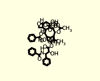 CC(=O)O[C@H]1C(=O)[C@@]2(C)[C@@H](O)C[C@H]3OC[C@@]3(OC(C)=O)[C@@H]2[C@H](OC(=O)c2ccccc2)[C@@]2(O)C[C@H](OC(=O)[C@H](O)[C@@H](NC(=O)c3ccccc3)c3ccccc3)C(C)=C1C2(C)C